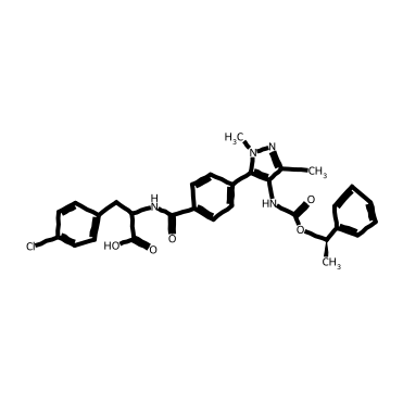 Cc1nn(C)c(-c2ccc(C(=O)NC(Cc3ccc(Cl)cc3)C(=O)O)cc2)c1NC(=O)O[C@H](C)c1ccccc1